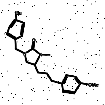 COc1ccc(CCCC2CN(Cc3ccc(C(C)(C)C)cc3)C(=O)N2C)cc1